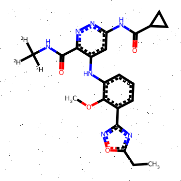 [2H]C([2H])([2H])NC(=O)c1nnc(NC(=O)C2CC2)cc1Nc1cccc(-c2noc(CC)n2)c1OC